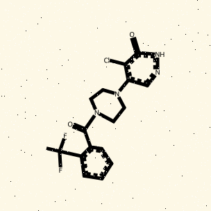 CC(F)(F)c1ccccc1C(=O)N1CCN(c2cn[nH]c(=O)c2Cl)CC1